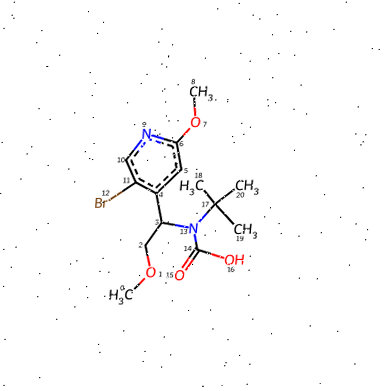 COCC(c1cc(OC)ncc1Br)N(C(=O)O)C(C)(C)C